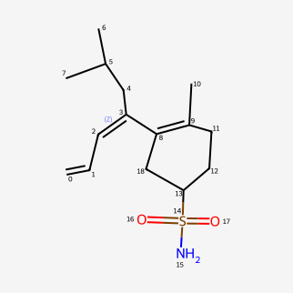 C=C/C=C(/CC(C)C)C1=C(C)CCC(S(N)(=O)=O)C1